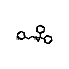 c1ccc(C2(c3ccccc3)CN2CCc2cccnc2)cc1